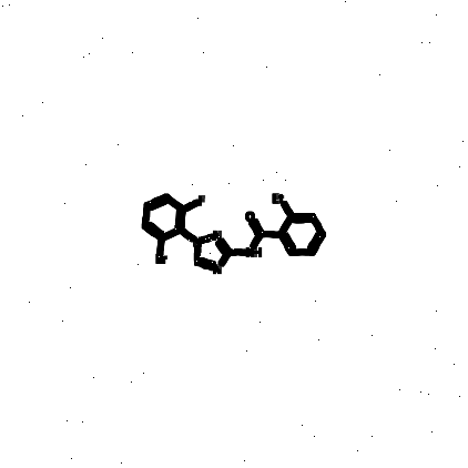 CCc1ccccc1C(=O)Nc1ncn(-c2c(F)cccc2Br)n1